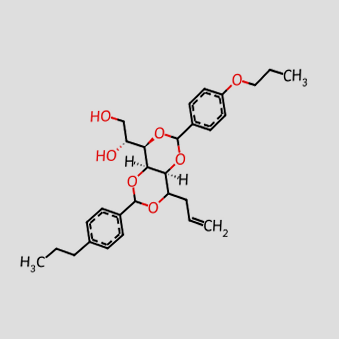 C=CCC1OC(c2ccc(CCC)cc2)O[C@H]2[C@@H]([C@H](O)CO)OC(c3ccc(OCCC)cc3)O[C@@H]12